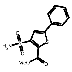 COC(=O)c1sc(-c2ccccc2)cc1S(N)(=O)=O